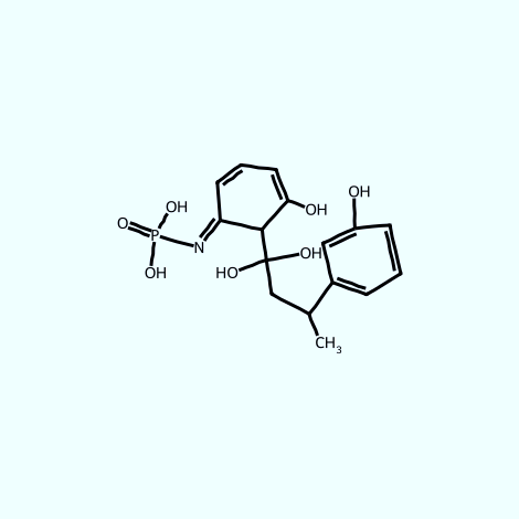 CC(CC(O)(O)C1C(O)=CC=CC1=NP(=O)(O)O)c1cccc(O)c1